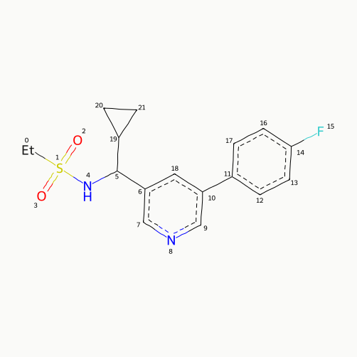 CCS(=O)(=O)NC(c1cncc(-c2ccc(F)cc2)c1)C1CC1